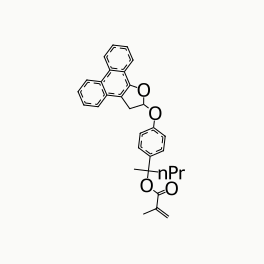 C=C(C)C(=O)OC(C)(CCC)c1ccc(OC2Cc3c(c4ccccc4c4ccccc34)O2)cc1